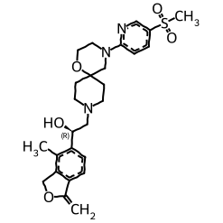 C=C1OCc2c1ccc([C@@H](O)CN1CCC3(CC1)CN(c1ccc(S(C)(=O)=O)cn1)CCO3)c2C